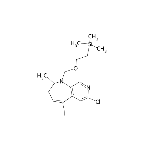 CC1CC=C(I)c2cc(Cl)ncc2N1COCC[Si](C)(C)C